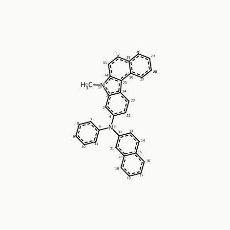 Cn1c2cc(N(c3ccccc3)c3ccc4ccccc4c3)ccc2c2c3ccccc3ccc21